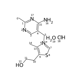 Cc1ncc(C[n+]2csc(CCO)c2C)c(N)n1.Cl.O